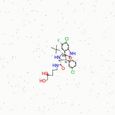 CC(C)(C)C[C@H]1N[C@@H](C(=O)NCCC[C@H](O)CO)[C@H](c2cccc(Cl)c2)[C@@]12C(=O)Nc1cc(Cl)c(F)cc12